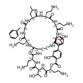 CC(C)C[C@@H]1NC(=O)[C@@H](Cc2ccccc2)NC(=O)[C@H](CCN)NC(=O)[C@@H](NC(=O)[C@H](CCN)NC(=O)[C@@H](NC(=O)[C@H](CCN)OC(=O)c2ccc(-c3ccccc3)cc2O)C(C)O)CCNC(=O)[C@H](C(C)O)NC(=O)[C@H](CCN)NC(=O)[C@H](CCN)NC1=O